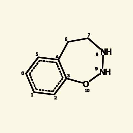 c1ccc2c(c1)CCNNO2